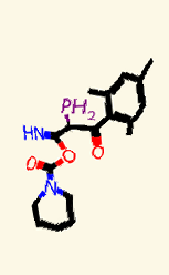 Cc1cc(C)c(C(=O)[C@H](P)C(=N)OC(=O)N2CCCCC2)c(C)c1